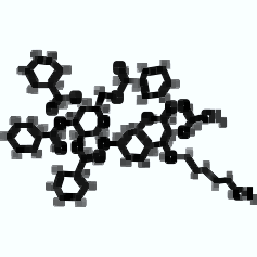 CCCCCCOc1c(OC(C)=O)c(=O)oc2cc(O[C@H]3O[C@H](COC(=O)c4ccccc4)[C@@H](OC(=O)c4ccccc4)[C@H](OC(=O)c4ccccc4)[C@@H]3OC(=O)c3ccccc3)ccc12